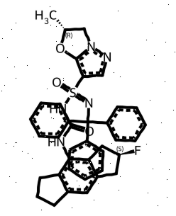 C[C@@H]1Cn2ncc(S(=O)(=NC(c3ccccc3)(c3ccccc3)c3ccccc3)NC(=O)Nc3c4c(cc5c3C[C@@H](F)C5)CCC4)c2O1